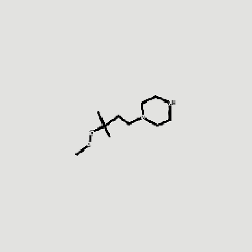 CSSC(C)(C)CCN1CCNCC1